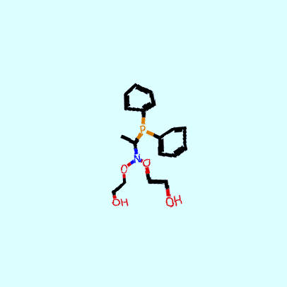 CC(N(OCCO)OCCO)P(c1ccccc1)c1ccccc1